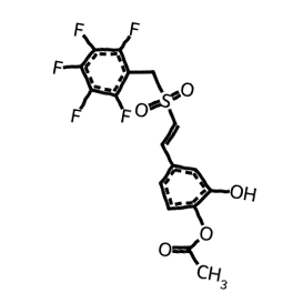 CC(=O)Oc1ccc(/C=C/S(=O)(=O)Cc2c(F)c(F)c(F)c(F)c2F)cc1O